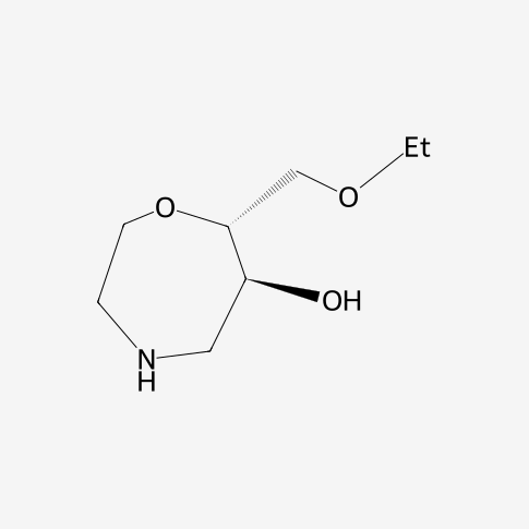 CCOC[C@H]1OCCNC[C@@H]1O